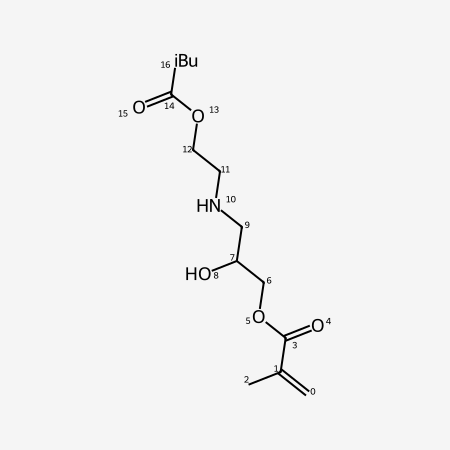 C=C(C)C(=O)OCC(O)CNCCOC(=O)C(C)CC